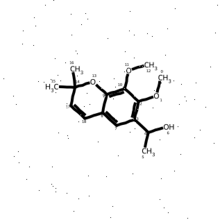 COc1c(C(C)O)cc2c(c1OC)OC(C)(C)C=C2